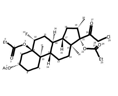 CCC(=O)O[C@]12C[C@@H](OC(C)=O)CC[C@]1(C)[C@H]1CC[C@@]3(C)[C@@H](C[C@H](C)[C@@]3(OC(=O)CC)C(=O)CCl)[C@@H]1C[C@H]2F